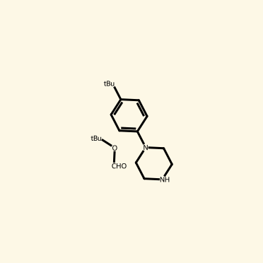 CC(C)(C)OC=O.CC(C)(C)c1ccc(N2CCNCC2)cc1